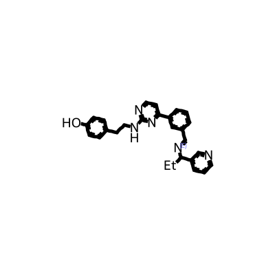 CCC(/N=C/c1cccc(-c2ccnc(NCCc3ccc(O)cc3)n2)c1)c1cccnc1